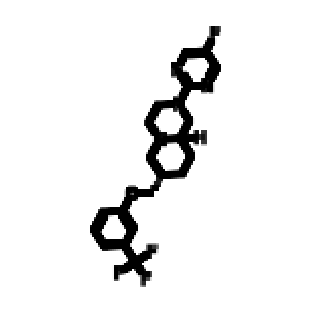 Fc1cnc(N2CCN3C[C@@H](COc4cccc(C(F)(F)F)c4)CC[C@H]3C2)nc1